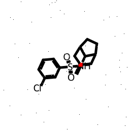 C=C1CC2CCC(C1)C2NS(=O)(=O)c1cccc(Cl)c1